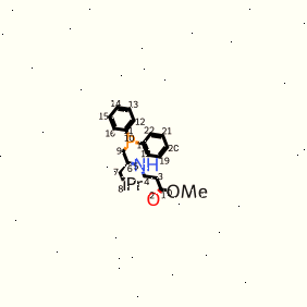 COC(=O)CCN[C@@H](CC(C)C)CP(c1ccccc1)c1ccccc1